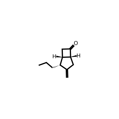 C=C1C[C@H]2C(=O)C[C@H]2[C@H]1CCC